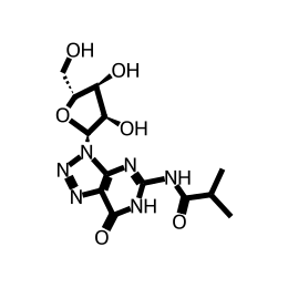 CC(C)C(=O)Nc1nc2c(nnn2[C@@H]2O[C@H](CO)[C@@H](O)[C@H]2O)c(=O)[nH]1